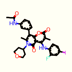 CC(=O)Nc1cccc(-c2c(C)n(C3CCOCC3)c(=O)c3c(Nc4ccc(I)cc4F)c(C)c(=O)oc23)c1